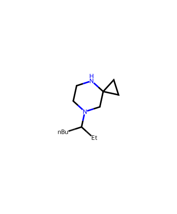 CCCCC(CC)N1CCNC2(CC2)C1